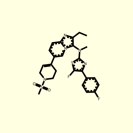 CCc1nc2ccc(C3=CCN(S(C)(=O)=O)CC3)cn2c1N(C)c1nc(-c2ccc(F)cc2)c(F)s1